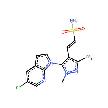 Cn1nc(C(F)(F)F)c(/C=C/S(N)(=O)=O)c1-n1ccc2cc(Cl)cnc21